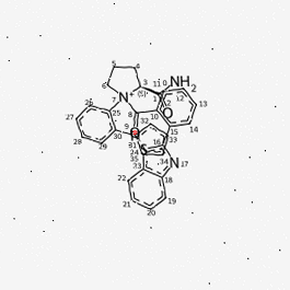 NC(=O)[C@@H]1CCC[N+]1(C(=O)c1ccccc1-c1nc2ccccc2s1)c1ccccc1-n1cccc1